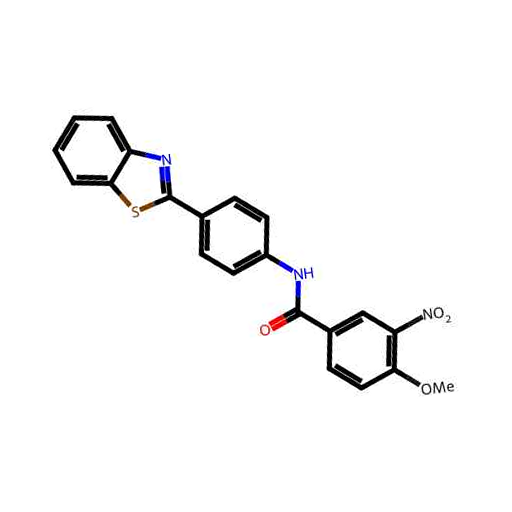 COc1ccc(C(=O)Nc2ccc(-c3nc4ccccc4s3)cc2)cc1[N+](=O)[O-]